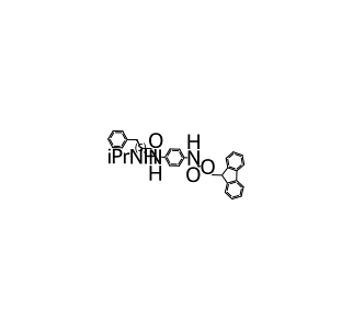 CC(C)N[C@@H](Cc1ccccc1)C(=O)Nc1ccc(NC(=O)OCC2c3ccccc3-c3ccccc32)cc1